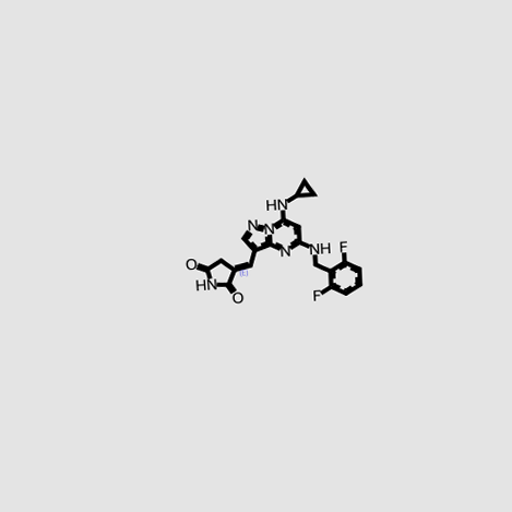 O=C1C/C(=C\c2cnn3c(NC4CC4)cc(NCc4c(F)cccc4F)nc23)C(=O)N1